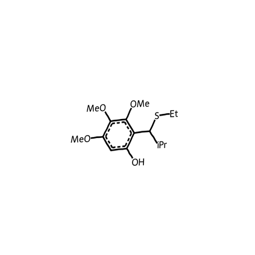 CCSC(c1c(O)cc(OC)c(OC)c1OC)C(C)C